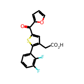 O=C(O)Cc1cc(C(=O)c2ccco2)sc1-c1cccc(F)c1F